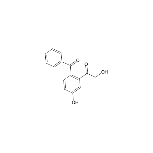 O=C(CO)c1cc(O)ccc1C(=O)c1ccccc1